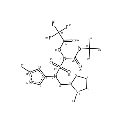 CN1CCC[C@@H]1CN(c1cnn(C)c1)S(=O)(=O)N(OC(=O)C(F)(F)F)C(=O)OC(C)(C)C